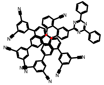 N#Cc1cc(C#N)cc(-c2ccc3c(c2)c2cc(-c4cc(C#N)cc(C#N)c4)ccc2n3-c2ccc(-c3nc(-c4ccccc4)nc(-c4ccccc4)n3)cc2-c2c(C#N)cccc2-n2c3ccc(-c4cc(C#N)cc(C#N)c4)cc3c3cc(-c4cc(C#N)cc(C#N)c4)ccc32)c1